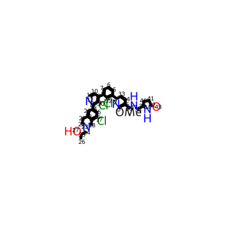 COc1nc(-c2cccc(-c3ccnc(-c4cc(Cl)c5c(c4)CCN(CC(C)O)C5)c3Cl)c2Cl)ccc1CNCC1CCC(=O)N1